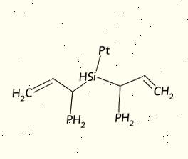 C=CC(P)[SiH]([Pt])C(P)C=C